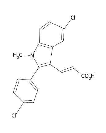 Cn1c(-c2ccc(Cl)cc2)c(C=CC(=O)O)c2cc(Cl)ccc21